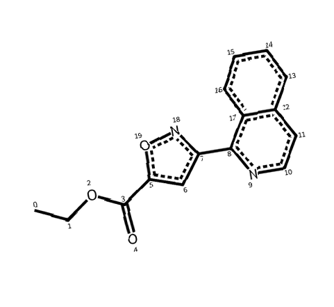 CCOC(=O)c1cc(-c2nccc3ccccc23)no1